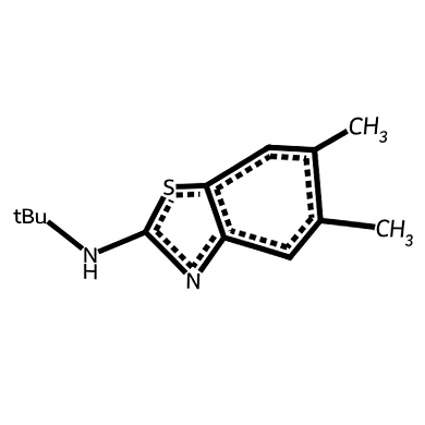 Cc1cc2nc(NC(C)(C)C)sc2cc1C